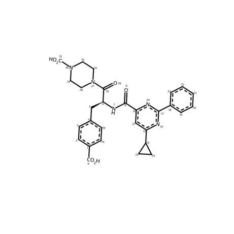 O=C(O)c1ccc(C[C@H](NC(=O)c2cc(C3CC3)nc(-c3ccccc3)n2)C(=O)N2CCN(C(=O)O)CC2)cc1